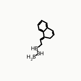 BBBCC=C1CC=Cc2ccccc21